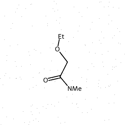 [CH2]NC(=O)COCC